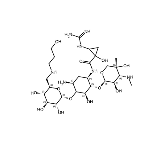 CN[C@@H]1[C@@H](O)[C@@H](O[C@H]2[C@H](NC(=O)C3(O)CC3NC(=N)N)C[C@H](N)C(O[C@H]3O[C@H](CNCCCO)[C@@H](O)[C@H](O)[C@H]3O)[C@@H]2O)OC[C@]1(C)O